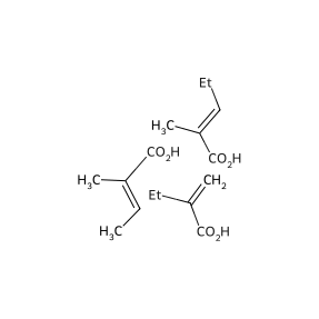 C=C(CC)C(=O)O.CC=C(C)C(=O)O.CCC=C(C)C(=O)O